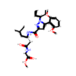 CCC(CC)n1nc(C(=O)N[C@H](CC(=O)NCC(=O)OC)CC(C)C)cc1-c1c(OC)cccc1OC